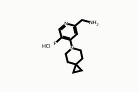 Cl.NCc1cc(N2CCC3(CC2)CC3)c(F)cn1